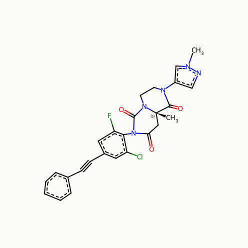 Cn1cc(N2CCN3C(=O)N(c4c(F)cc(C#Cc5ccccc5)cc4Cl)C(=O)C[C@@]3(C)C2=O)cn1